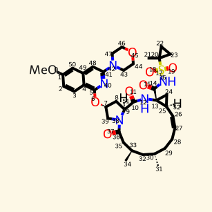 COc1ccc2c(O[C@@H]3C[C@H]4C(=O)N[C@]5(C(=O)NS(=O)(=O)C6(C)CC6)C[C@H]5/C=C\CC[C@H](C)C[C@@H](C)CC(=O)N4C3)nc(N3CCOCC3)cc2c1